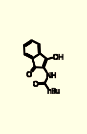 CCCCC(=O)NC1=C(O)c2ccccc2C1=O